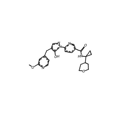 COc1cc(Cc2cnn(-c3ccc(C(=O)NC4(C5CCOCC5)CC4)cn3)c2O)ccn1